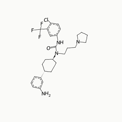 Nc1cccc([C@H]2CC[C@H](N(CCCN3CCCC3)C(=O)Nc3ccc(Cl)c(C(F)(F)F)c3)CC2)c1